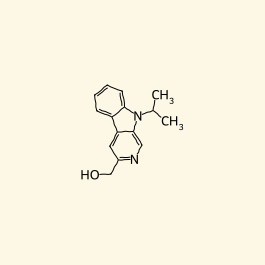 CC(C)n1c2ccccc2c2cc(CO)ncc21